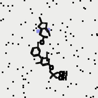 C=C(/C=C1/CC(C)C/C1=C/C)OCc1cccc(-c2c(C)cc(OCC(C)(CO)CO)cc2C)c1